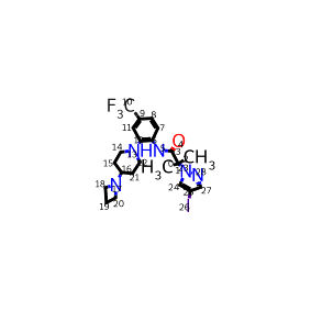 CC(C)(C(=O)Nc1ccc(C(F)(F)F)cc1N1CCC(N2CCC2)CC1)n1cc(I)cn1